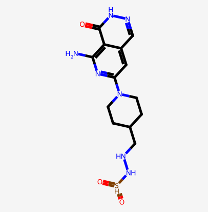 Nc1nc(N2CCC(CNN[SH](=O)=O)CC2)cc2cn[nH]c(=O)c12